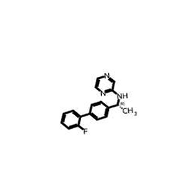 C[C@@H](Nc1cnccn1)c1ccc(-c2ccccc2F)cc1